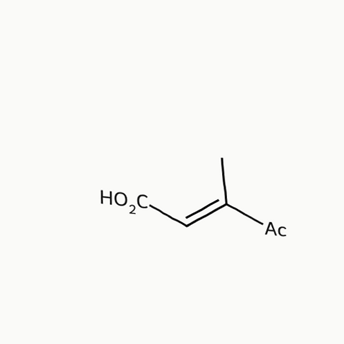 CC(=O)C(C)=CC(=O)O